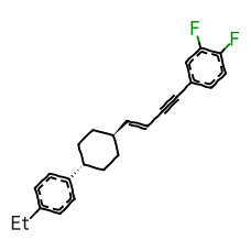 CCc1ccc([C@H]2CC[C@H](C=CC#Cc3ccc(F)c(F)c3)CC2)cc1